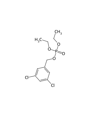 CCOP(=O)(OCC)OCc1cc(Cl)cc(Cl)c1